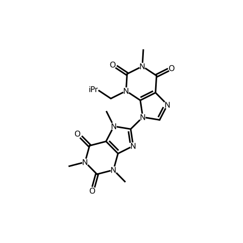 CC(C)Cn1c(=O)n(C)c(=O)c2ncn(-c3nc4c(c(=O)n(C)c(=O)n4C)n3C)c21